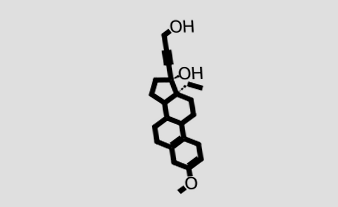 CC[C@]12CCC3C4=C(CCC3C1CC[C@@]2(O)C#CCO)CC(OC)=CC4